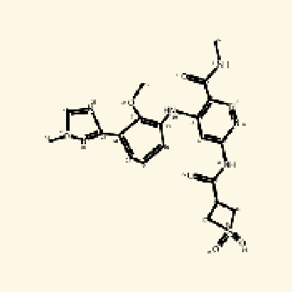 CNC(=O)c1nnc(NC(=O)C2CS(=O)(=O)C2)cc1Nc1cccc(-c2ncn(C)n2)c1OC